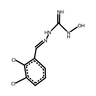 N=C(NO)NN=Cc1cccc(Cl)c1Cl